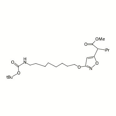 COC(=O)C(c1cc(OCCCCCCCCNC(=O)OC(C)(C)C)no1)C(C)C